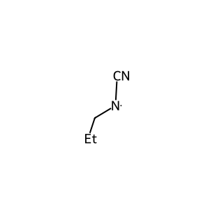 CCC[N]C#N